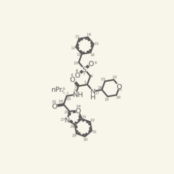 CCC[C@H](NC(=O)C(CS(=O)(=O)Cc1ccccc1)NC1CCOCC1)C(=O)c1nc2ccccc2o1